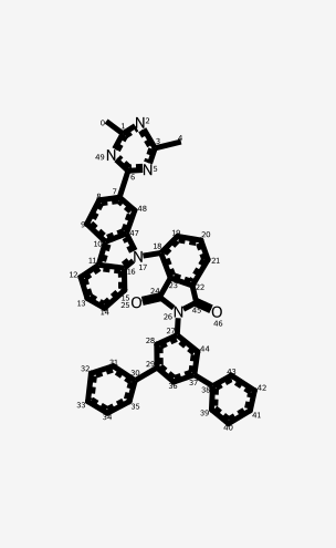 Cc1nc(C)nc(-c2ccc3c4ccccc4n(-c4cccc5c4C(=O)N(c4cc(-c6ccccc6)cc(-c6ccccc6)c4)C5=O)c3c2)n1